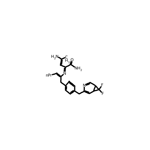 CCC/C=C(Cc1ccc(CC2=CC3C(C=N2)C3(F)F)cc1)/N=C(\C=C(/C)N)C(N)=O